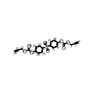 C#CCOC(=O)Oc1ccc(S(=O)(=O)c2ccc(OC(=O)OCC#C)cc2)cc1